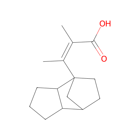 CC(C(=O)O)=C(C)C12CCC(C1)C1CCCC12